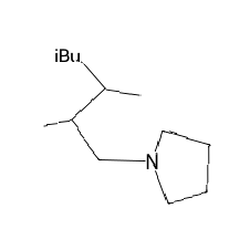 CCC(C)C(C)C(C)CN1CCCC1